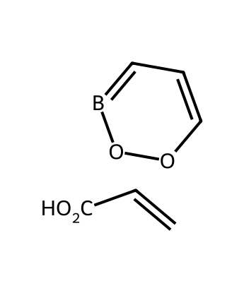 B1=CC=COO1.C=CC(=O)O